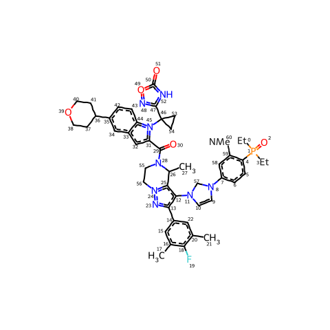 CCP(=O)(CC)c1ccc(N2C=CN(c3c(-c4cc(C)c(F)c(C)c4)nn4c3C(C)N(C(=O)c3cc5cc(C6CCOCC6)ccc5n3C3(c5noc(=O)[nH]5)CC3)CC4)C2)cc1NC